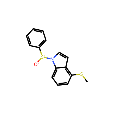 CSc1cccc2c1ccn2[S+]([O-])c1ccccc1